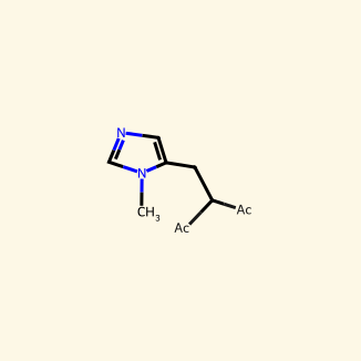 CC(=O)C(Cc1cncn1C)C(C)=O